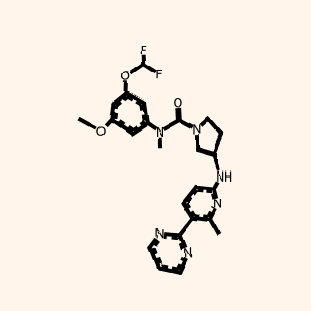 COc1cc(OC(F)F)cc(N(C)C(=O)N2CCC(Nc3ccc(-c4ncccn4)c(C)n3)C2)c1